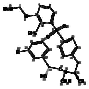 COCOc1cccc(S(=O)(=O)c2ccc(C[C@@H](C)N(C[C@H](O)c3cccc(Cl)c3)C(=O)O)cc2)c1C=O